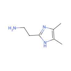 Cc1nc(CCN)[nH]c1C